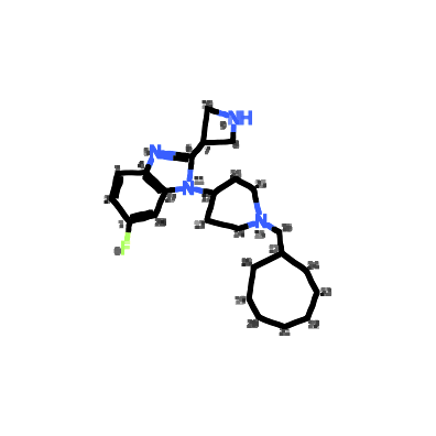 Fc1ccc2nc(C3CNC3)n(C3CCN(CC4CCCCCCC4)CC3)c2c1